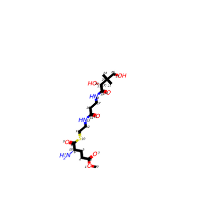 COC(=O)CC[C@H](N)C(=O)SCCNC(=O)CCNC(=O)[C@H](O)C(C)(C)CO